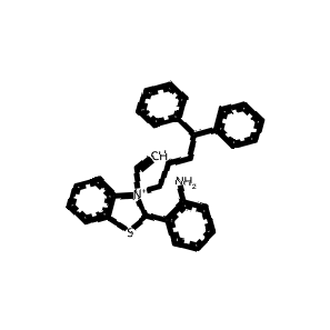 C=C[N+]1(CCCC(c2ccccc2)c2ccccc2)c2ccccc2SC1c1ccccc1N